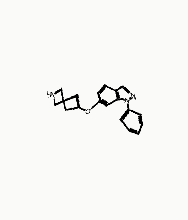 c1ccc(-n2ncc3ccc(OC4CC5(CNC5)C4)cc32)cc1